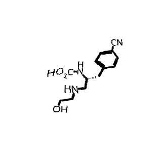 N#Cc1ccc(C[C@H](CNCCO)NC(=O)O)cc1